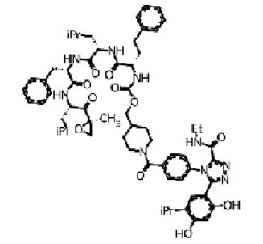 CCNC(=O)c1nnc(-c2cc(C(C)C)c(O)cc2O)n1-c1ccc(C(=O)N2CCC(COC(=O)N[C@@H](CCc3ccccc3)C(=O)N[C@@H](CC(C)C)C(=O)N[C@@H](Cc3ccccc3)C(=O)N[C@@H](CC(C)C)C(=O)[C@@]3(C)CO3)CC2)cc1